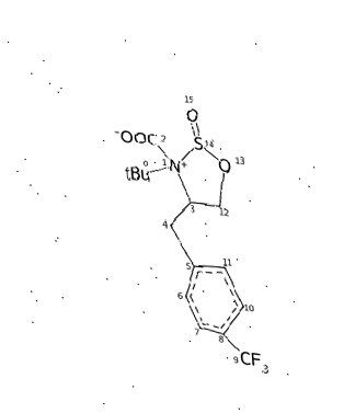 CC(C)(C)[N+]1(C(=O)[O-])C(Cc2ccc(C(F)(F)F)cc2)COS1=O